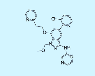 COCn1nc(Nc2cnccn2)c2cc(-c3ncccc3Cl)cc(OCCc3ccccn3)c21